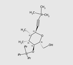 CC(C)[Si](O[C@H]1[C@H](C)[C@H](C)[C@@H](C#C[Si](C)(C)C)O[C@@H]1CO)(C(C)C)C(C)C